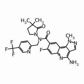 Cn1ncc2c(N)nc3cc(F)c(C(=O)N(Cc4ccc(C(F)(F)F)cn4)N4CCC(C)(C)C4=O)cc3c21